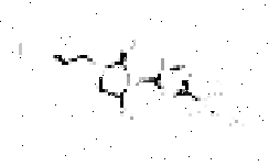 C=CCN1CC(O)N(c2nnc(S(=O)(=O)CCCC)s2)C1=O